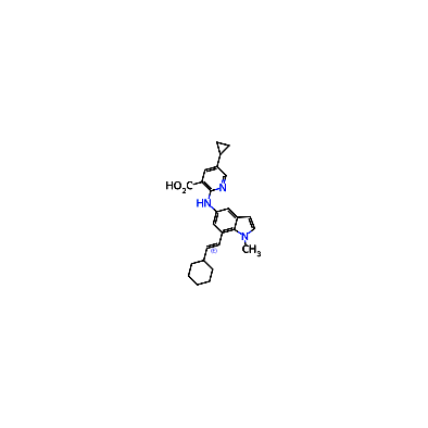 Cn1ccc2cc(Nc3ncc(C4CC4)cc3C(=O)O)cc(/C=C/C3CCCCC3)c21